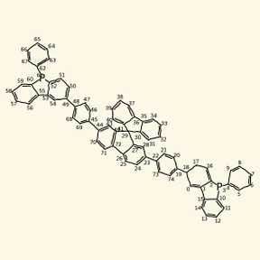 C1=c2c(p(-c3ccccc3)c3ccccc23)=CCC1c1ccc(-c2ccc3c(c2)C2(c4ccccc4-c4ccccc42)c2cc(-c4ccc(-c5ccc6c(c5)c5ccccc5p6-c5ccccc5)cc4)ccc2-3)cc1